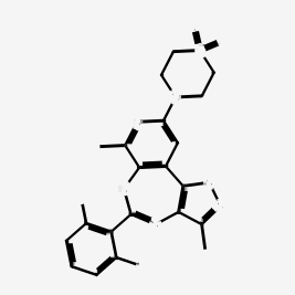 Cc1n[nH]c2c1N=C(c1c(F)cccc1F)Nc1c-2cc(N2CCS(=O)(=O)CC2)nc1C